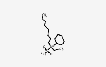 CCCCCCCC[N+](CC)(C1CCCCC1)S(=O)(=O)O